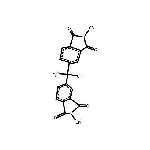 N#CN1C(=O)c2ccc(C(c3ccc4c(c3)C(=O)N(C#N)C4=O)(C(F)(F)F)C(F)(F)F)cc2C1=O